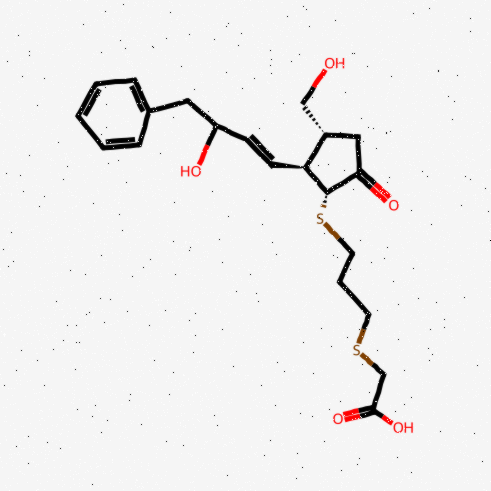 O=C(O)CSCCCS[C@H]1C(=O)C[C@@H](CO)[C@@H]1/C=C/C(O)Cc1ccccc1